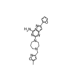 Cc1cc(CN2CCCN(c3nc(N)n4nc(-c5ccco5)cc4n3)CC2)no1